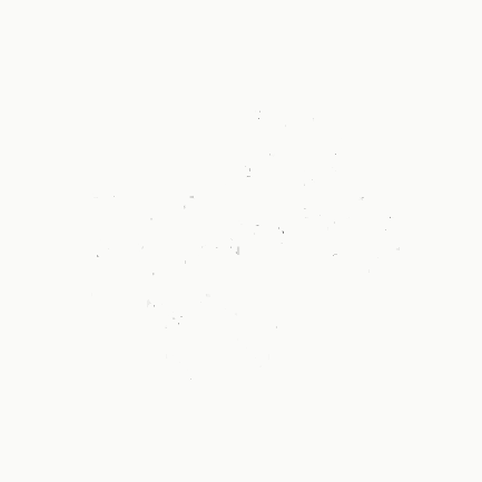 CC1(C)CCCn2nc(-c3ccccc3F)c(C(=O)N[C@H]3N=C(c4ccccc4)c4cccc(F)c4NC3=O)c2O1